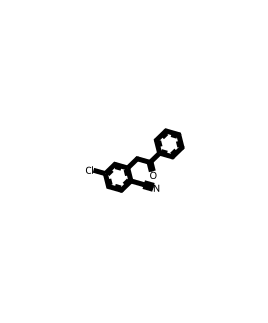 N#Cc1ccc(Cl)cc1CC(=O)c1ccccc1